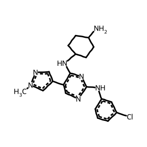 Cn1cc(-c2cnc(Nc3cccc(Cl)c3)nc2NC2CCC(N)CC2)cn1